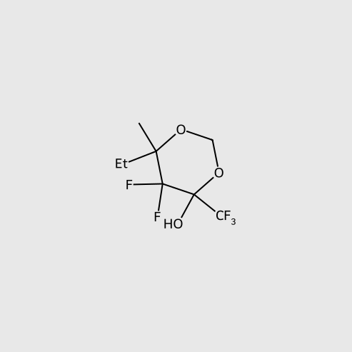 CCC1(C)OCOC(O)(C(F)(F)F)C1(F)F